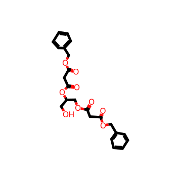 O=C(CC(=O)OCC(CO)OC(=O)CC(=O)OCc1ccccc1)OCc1ccccc1